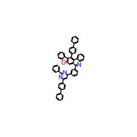 c1ccc(-c2ccc(-c3cc(-c4cccc(-c5nc6ccccc6c6c(-c7ccc(-c8ccccc8)cc7)c7c(cc56)oc5ccccc57)c4)nc(-c4ccccc4)n3)cc2)cc1